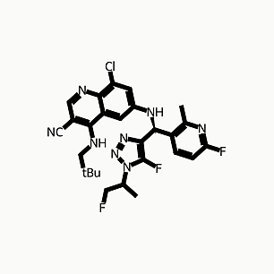 Cc1nc(F)ccc1[C@H](Nc1cc(Cl)c2ncc(C#N)c(NCC(C)(C)C)c2c1)c1nnn(C(C)CF)c1F